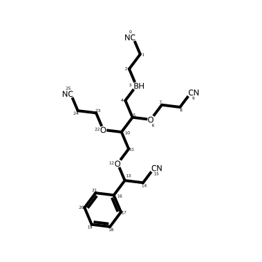 N#CCCBCC(OCCC#N)C(COC(CC#N)c1ccccc1)OCCC#N